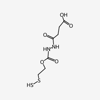 O=C(O)CCC(=O)NNC(=O)OCCSS